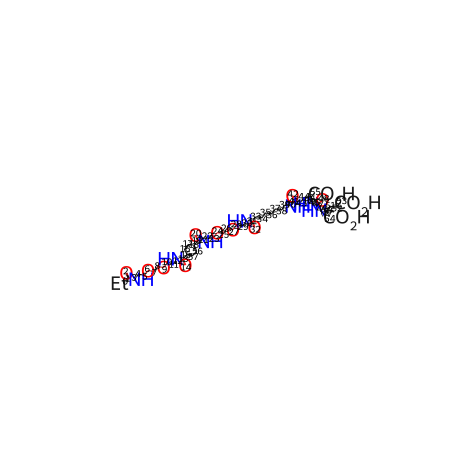 CCC(=O)NCCOCCOCCNC(=O)c1ccc(C(=O)NCCOCCOCCNC(=O)CCCCCCCNC(=O)CC[C@H](NC(=O)N[C@@H](CCC(=O)O)C(=O)O)C(=O)O)cc1